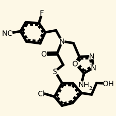 N#Cc1ccc(CN(Cc2nnc(N)o2)C(=O)CSc2cc(CCO)ccc2Cl)c(F)c1